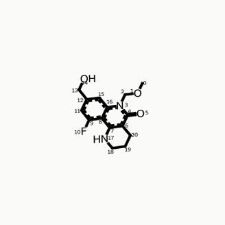 COCn1c(=O)c2c(c3c(F)cc(CO)cc31)NCCC2